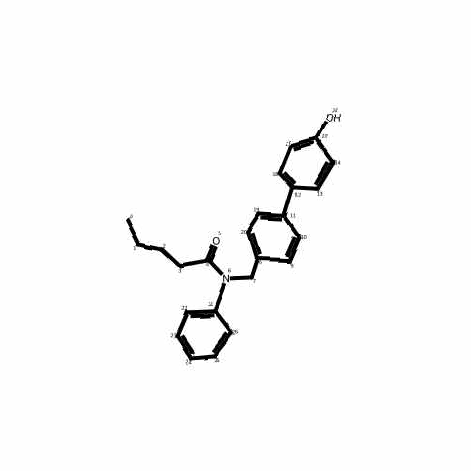 CCCCC(=O)N(Cc1ccc(-c2ccc(O)cc2)cc1)c1ccccc1